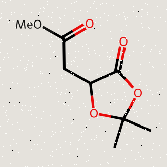 COC(=O)CC1OC(C)(C)OC1=O